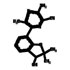 Cc1nc(N)c(C#N)nc1-c1cccc2c1OC(C)(C)C2O